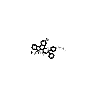 COc1ccc(C2(c3ccccc3)C=Cc3c4c(c5ccc(Br)cc5c3O2)-c2ccccc2C4(C)C)cc1